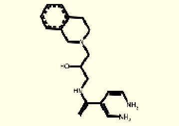 C=C(NCC(O)CN1CCc2ccccc2C1)C(/C=C\N)=C/N